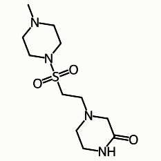 CN1CCN(S(=O)(=O)CCN2CCNC(=O)C2)CC1